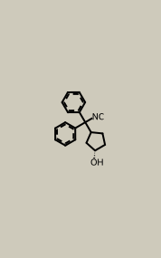 [C-]#[N+]C(c1ccccc1)(c1ccccc1)C1CC[C@H](O)C1